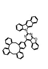 c1ccc2c(c1)Cc1ccccc1-c1ccc(-c3nc(-n4c5ccccc5c5cc6ccccc6cc54)nc4oc5ccccc5c34)cc1Cc1ccccc1-2